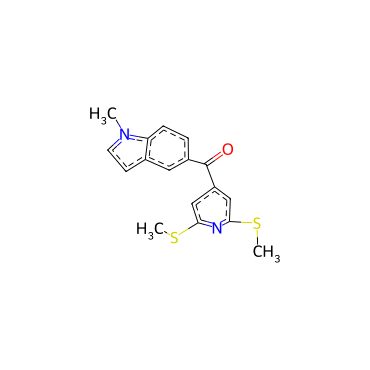 CSc1cc(C(=O)c2ccc3c(ccn3C)c2)cc(SC)n1